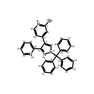 Brc1cc(-c2cn(C(c3ccccc3)(c3ccccc3)c3ccccc3)nc2-c2ccccn2)ccn1